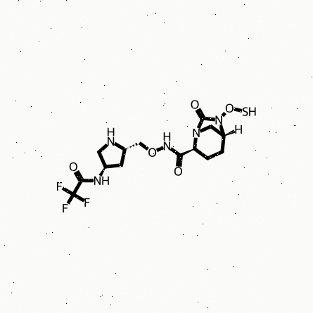 O=C(NOC[C@@H]1C[C@@H](NC(=O)C(F)(F)F)CN1)[C@@H]1CC[C@@H]2CN1C(=O)N2OS